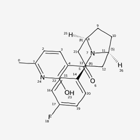 Cc1ccc(C(=O)N2[C@@H]3CC[C@H]2C[C@@H](c2ccc(F)cc2)C3)c(O)n1